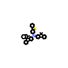 CC1CC2CCCC(C2)C12c1ccccc1-c1ccc(N(c3ccc4c(c3)C(C)(C)c3ccccc3-4)c3ccc4c(c3)sc3ccccc34)cc12